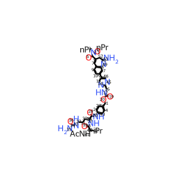 CCCON(CCC)C(=O)C1=Cc2ccc(-c3cnc(CNC(=O)OCc4ccc(NC(=O)[C@H](CCCNC(N)=O)NC(=O)[C@@H](NC(C)=O)C(C)C)cc4)nc3)cc2N=C(N)C1